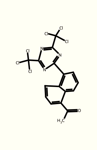 CC(=O)c1cccc2c(-c3nc(C(Cl)(Cl)Cl)nc(C(Cl)(Cl)Cl)n3)cccc12